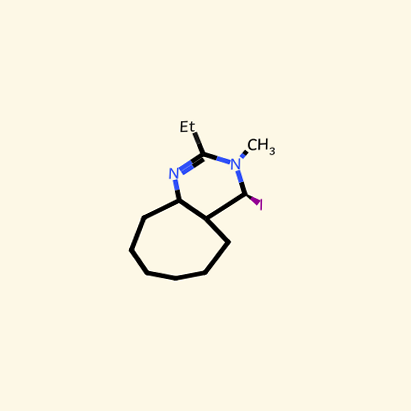 CCC1=NC2CCCCCCC2[C@H](I)N1C